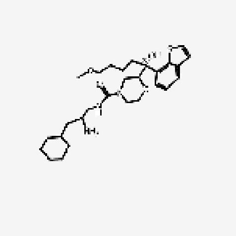 COCCCC[C@@](O)(c1cccc2ccsc12)C1CN(C(=O)NCC(N)CC2CCCCC2)CCO1